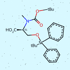 CN(C(=O)OC(C)(C)C)[C@@H](CO[Si](c1ccccc1)(c1ccccc1)C(C)(C)C)C(=O)O